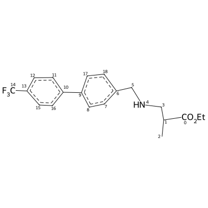 CCOC(=O)C(C)CNCc1ccc(-c2ccc(C(F)(F)F)cc2)cc1